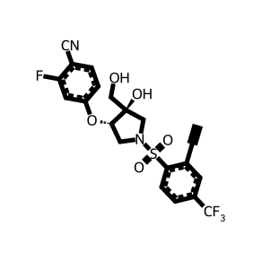 C#Cc1cc(C(F)(F)F)ccc1S(=O)(=O)N1C[C@H](Oc2ccc(C#N)c(F)c2)[C@](O)(CO)C1